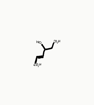 O=C(O)C=CC(O)CC(=O)O